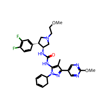 COCCN1C[C@@H](NC(=O)Nc2c(C)c(-c3cnc(OC)nc3)nn2C2C=CC=CC2)[C@H](c2ccc(F)c(F)c2)C1